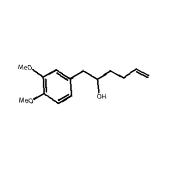 C=CCCC(O)Cc1ccc(OC)c(OC)c1